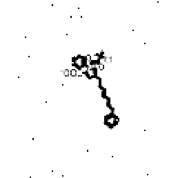 CCC(C)(C)C(=O)C(=O)[N+]1(c2ccccc2)CC(CCCCCCCc2ccccc2)C[C@H]1C(=O)[O-]